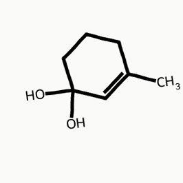 CC1=CC(O)(O)CCC1